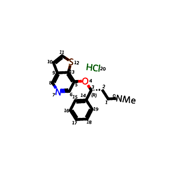 CNCC[C@@H](Oc1cncc2ccsc12)c1ccccc1.Cl